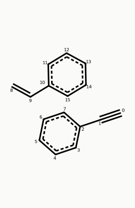 C#Cc1ccccc1.C=Cc1ccccc1